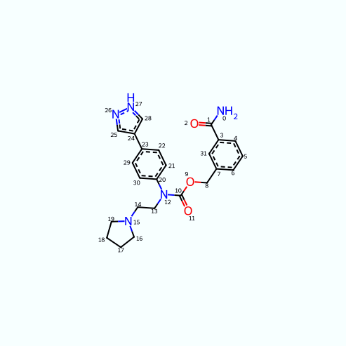 NC(=O)c1cccc(COC(=O)N(CCN2CCCC2)c2ccc(-c3cn[nH]c3)cc2)c1